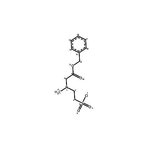 CN(CCS(=O)(=O)Cl)CC(=O)OCc1ccccc1